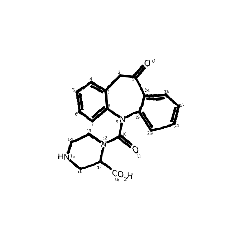 O=C1Cc2ccccc2N(C(=O)N2CCNCC2C(=O)O)c2ccccc21